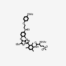 CCN(CCOc1ccc(OC)cc1)c1ccc(/N=C2/C(C(C)(C)C)=Nn3c2nnc3-c2c(C)cc(C)c(NC(=O)C(CCS(C)(=O)=O)NC(C)=O)c2C)c(C)c1